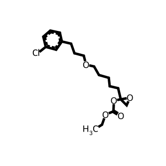 CCOC(=O)OC1(CCCCCOCCCc2cccc(Cl)c2)CO1